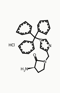 Cl.N[C@@H]1CCN(Cc2cn(C(c3ccccc3)(c3ccccc3)c3ccccc3)cn2)C1=O